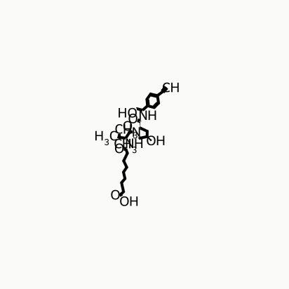 C#Cc1ccc(C(CO)NC(=O)[C@@H]2C[C@@H](O)CN2C(=O)C(NC(=O)CCCCCCCC(=O)O)C(C)(C)C)cc1